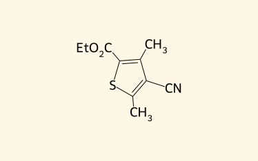 CCOC(=O)c1sc(C)c(C#N)c1C